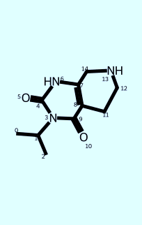 CC(C)n1c(=O)[nH]c2c(c1=O)CCNC2